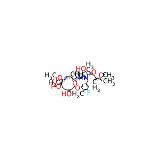 CC[C@H](OC)[C@@H](C)C1O[C@@H]1C(NCc1ccc(C)c(F)c1)C(C)(O)/C=C/C=C(\C)[C@H]1OC(=O)C[C@H](O)CC[C@@](C)(O)[C@@H](OC(C)=O)/C=C/[C@@H]1C